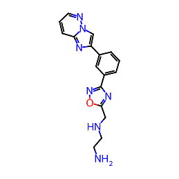 NCCNCc1nc(-c2cccc(-c3cn4ncccc4n3)c2)no1